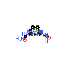 COc1nc(-c2cccc(-c3cccc(-c4cnc(CNC5CC(C(N)=O)C5)c(OC)n4)c3Cl)c2Cl)cnc1CNCC1CCC(=O)N1